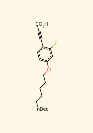 CCCCCCCCCCCCCCCOc1ccc(C#CC(=O)O)c(F)c1